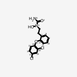 NC(=O)N(O)CCc1ccccc1Oc1ccc(Cl)cc1Cl